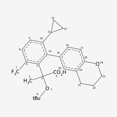 CC(C)(C)OC(C)(C(=O)O)c1c(C(F)(F)F)ccc(C2CC2)c1-c1ccc2c(c1)CCCO2